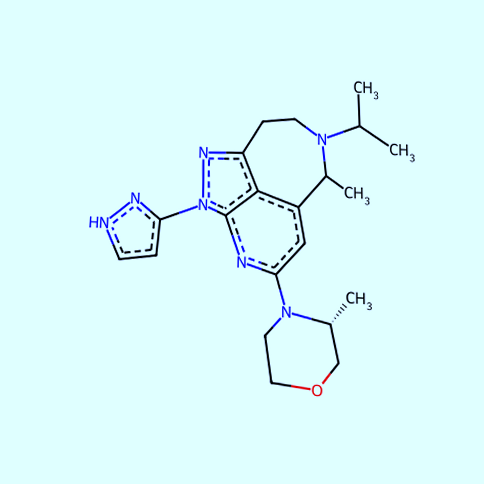 CC(C)N1CCc2nn(-c3cc[nH]n3)c3nc(N4CCOC[C@H]4C)cc(c23)C1C